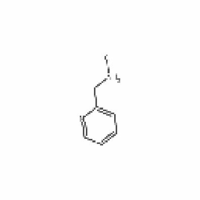 [CH2-][NH2+]Cc1ccccn1